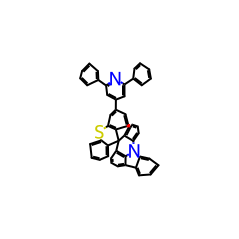 c1ccc(-c2cc(-c3ccc4c(c3)Sc3ccccc3C43c4ccccc4-n4c5ccccc5c5cccc3c54)cc(-c3ccccc3)n2)cc1